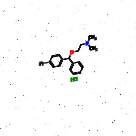 CC(C)c1ccc(C(OCCN(C)C)c2ccccc2)cc1.Cl